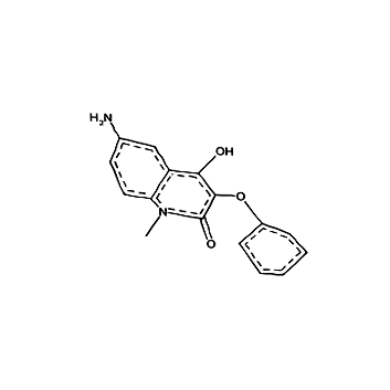 Cn1c(=O)c(Oc2ccccc2)c(O)c2cc(N)ccc21